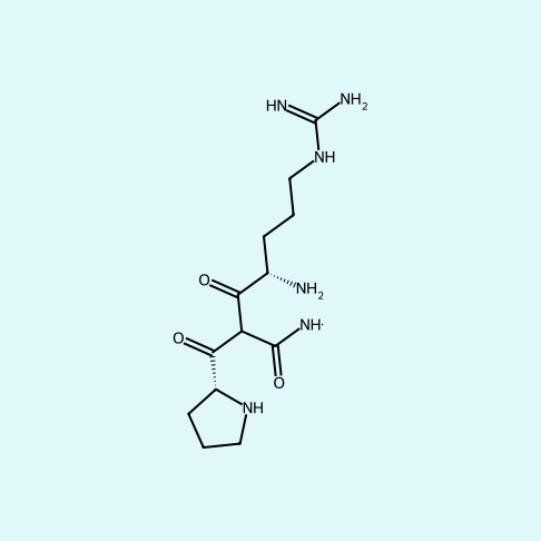 [NH]C(=O)C(C(=O)[C@@H](N)CCCNC(=N)N)C(=O)[C@H]1CCCN1